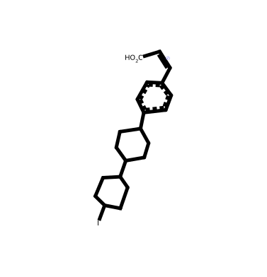 O=C(O)/C=C\c1ccc(C2CCC(C3CCC(I)CC3)CC2)cc1